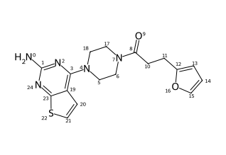 Nc1nc(N2CCN(C(=O)CCc3ccco3)CC2)c2ccsc2n1